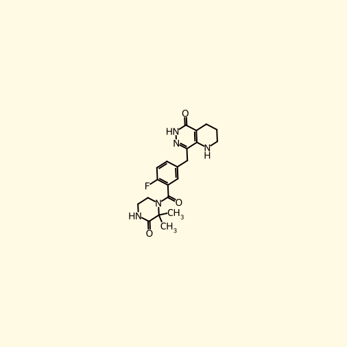 CC1(C)C(=O)NCCN1C(=O)c1cc(Cc2n[nH]c(=O)c3c2NCCC3)ccc1F